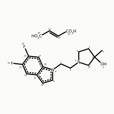 CC1(O)CCN(CCn2ccc3cc(F)c(F)cc32)C1.O=C(O)/C=C/C(=O)O